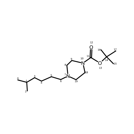 CC(C)CCCCN1CCN(C(=O)OC(C)(C)C)CC1